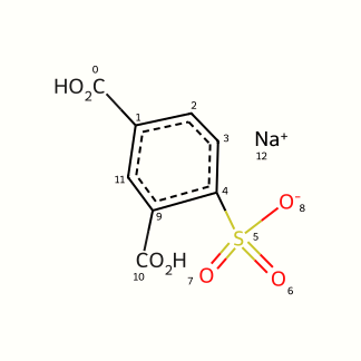 O=C(O)c1ccc(S(=O)(=O)[O-])c(C(=O)O)c1.[Na+]